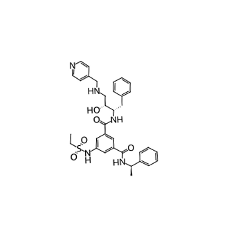 CCS(=O)(=O)Nc1cc(C(=O)N[C@@H](Cc2ccccc2)[C@H](O)CNCc2ccncc2)cc(C(=O)N[C@H](C)c2ccccc2)c1